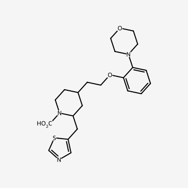 O=C(O)N1CCC(CCOc2ccccc2N2CCOCC2)CC1Cc1cncs1